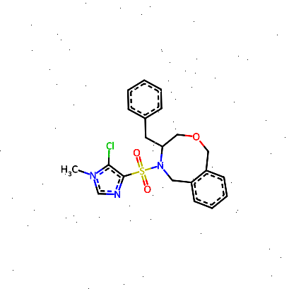 Cn1cnc(S(=O)(=O)N2Cc3ccccc3COCC2Cc2ccccc2)c1Cl